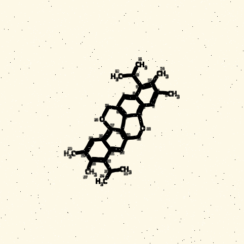 Cc1cc2c3c4c(cc2c(C(C)C)c1C)COc1c-4c(cc2c(C(C)C)c(C)c(C)cc12)CO3